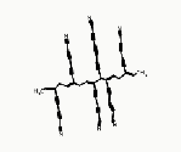 C/C=C(\C#CC#CC#N)C/C=C(\C#CC#CC#N)C/C=C(\C#CC#CC#N)C(C#CC#CC#CC#N)/C(C#CC#CC#N)=C/C/C(C#CC#CC#N)=C/C